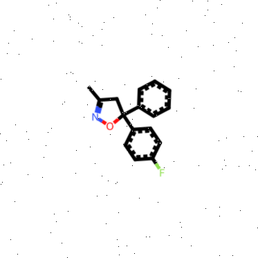 CC1=NOC(c2ccccc2)(c2ccc(F)cc2)C1